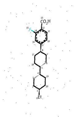 CC[C@H]1CC[C@H]([C@H]2CC[C@H](c3ccc(C(=O)O)c(F)c3)CC2)CC1